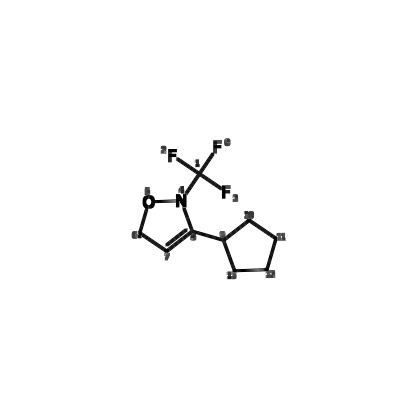 FC(F)(F)N1O[CH]C=C1C1CCCC1